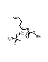 CS(N)(=O)=O.CSCC[C@H](NC(=O)OC(C)(C)C)C(=O)O